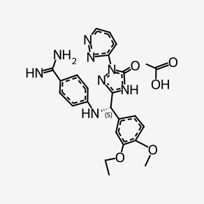 CC(=O)O.CCOc1cc([C@H](Nc2ccc(C(=N)N)cc2)c2nn(-c3cccnn3)c(=O)[nH]2)ccc1OC